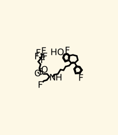 O=S(=O)(CCCC(F)(F)C(F)(F)F)CCC(CCF)NCCCCCCC1=C(c2ccc(F)cc2)CCCc2c1ccc(O)c2F